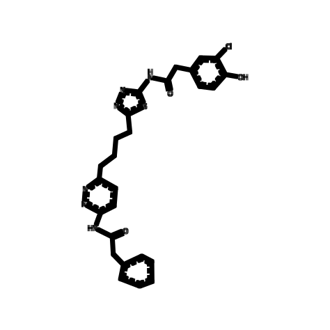 O=C(Cc1ccccc1)Nc1ccc(CCCCc2nnc(NC(=O)Cc3ccc(O)c(Cl)c3)s2)nn1